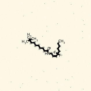 CCCCCC(F)(F)/C=C\CNC(=O)CCCCCCCC(C)(C)C